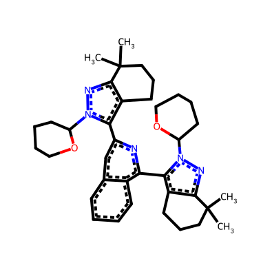 CC1(C)CCCc2c1nn(C1CCCCO1)c2-c1cc2ccccc2c(-c2c3c(nn2C2CCCCO2)C(C)(C)CCC3)n1